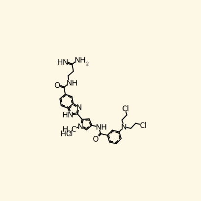 Cl.Cn1cc(NC(=O)c2cccc(N(CCCl)CCCl)c2)cc1-c1nc2cc(C(=O)NCCC(=N)N)ccc2[nH]1